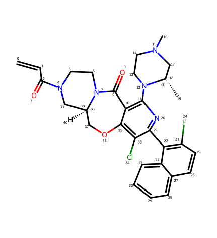 C=CC(=O)N1CCN2C(=O)c3c(N4CCN(C)C[C@@H]4C)nc(-c4c(F)ccc5ccccc45)c(Cl)c3OC[C@H]2C1